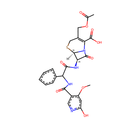 COc1cc(O)ncc1C(=O)NC(C(=O)N[C@@H]1C(=O)N2C(C(=O)O)=C(COC(C)=O)CS[C@H]12)c1ccccc1